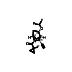 C#C[C@H]1[C@H]2C[C@H](C[C@@H]2OC(F)F)N1C(=O)C1(F)CC1